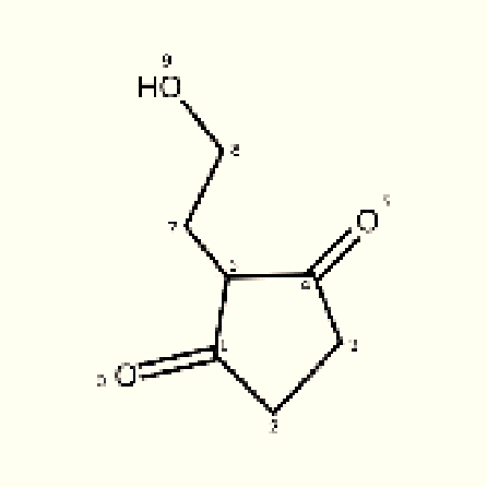 O=C1CCC(=O)[C]1CCO